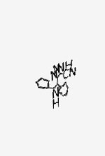 N#Cc1[nH]nnc1-c1c(-c2ccccc2)[nH]c2ccccc12